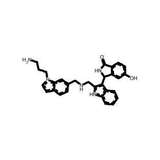 NCCCn1ccc2ccc(CNCc3[nH]c4ccccc4c3C3NC(=O)c4ccc(O)cc43)cc21